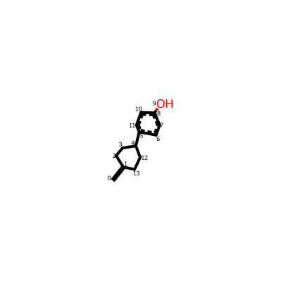 C=C1CCC(c2ccc(O)cc2)CC1